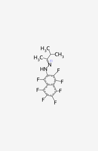 C/C(=N\Nc1c(F)c(F)c2c(F)c(F)c(F)c(F)c2c1F)C(C)C